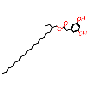 CCCCCCCCCCCCCCCCC(CC)COC(=O)Cc1cc(O)cc(O)c1